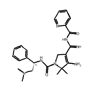 CN(C)C[C@@H](NC(=O)N1CC(C(=N)NC(=O)c2ccccn2)=C(N)C1(C)C)c1ccccc1